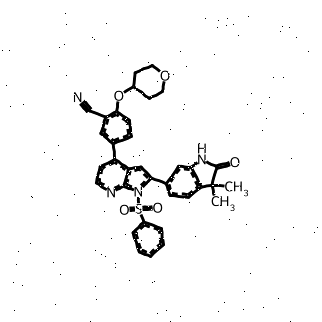 CC1(C)C(=O)Nc2cc(-c3cc4c(-c5ccc(OC6CCOCC6)c(C#N)c5)ccnc4n3S(=O)(=O)c3ccccc3)ccc21